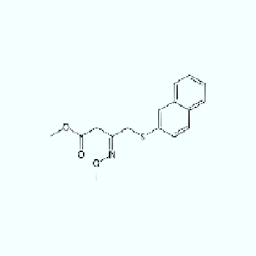 CON=C(CSc1ccc2ccccc2c1)CC(=O)OC